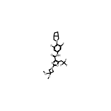 CCC1(OC)CN(c2nc(C(=O)Nc3cc(F)c(N4CC5CCC5C4)c(F)c3)c(CC(F)(F)F)o2)C1